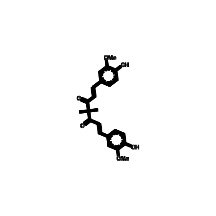 COc1cc(C=CC(=O)C(C)(C)C(=O)C=Cc2ccc(O)c(OC)c2)ccc1O